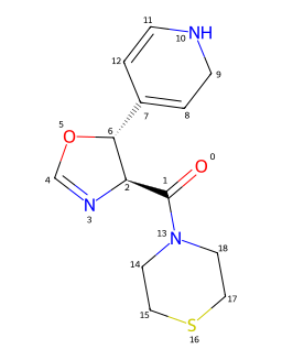 O=C([C@H]1N=CO[C@@H]1C1=CCNC=C1)N1CCSCC1